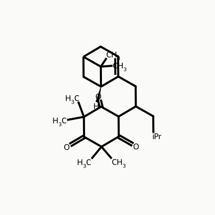 CC(C)CC(CC1=CCC2C[C@@H]1C2(C)C)C1C(=O)C(C)(C)C(=O)C(C)(C)C1=O